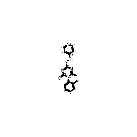 Cc1ccccc1-n1c(C)nc(NNc2ccncc2)nc1=O